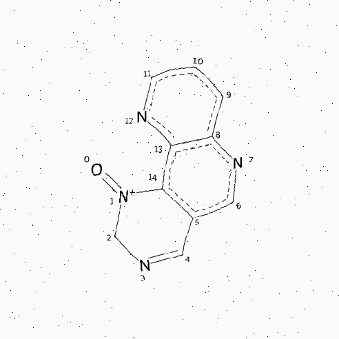 O=[N+]1CN=Cc2cnc3cccnc3c21